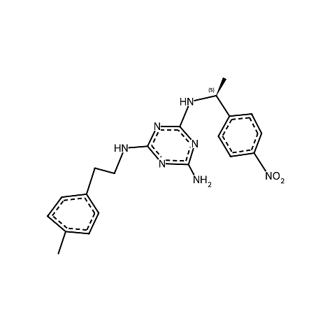 Cc1ccc(CCNc2nc(N)nc(N[C@@H](C)c3ccc([N+](=O)[O-])cc3)n2)cc1